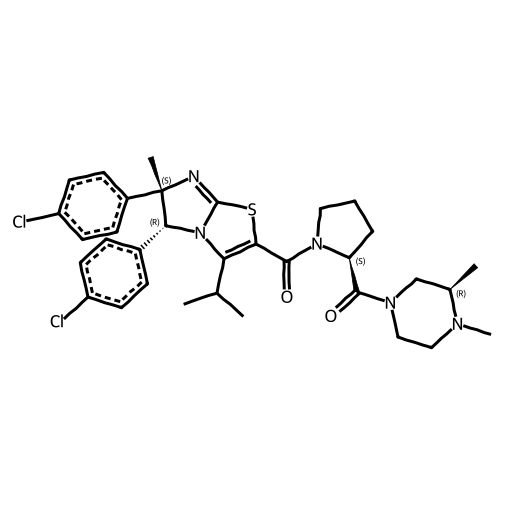 CC(C)C1=C(C(=O)N2CCC[C@H]2C(=O)N2CCN(C)[C@H](C)C2)SC2=N[C@@](C)(c3ccc(Cl)cc3)[C@@H](c3ccc(Cl)cc3)N21